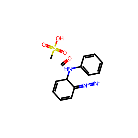 C=O.CS(=O)(=O)O.[N-]=[N+]=C1C=CC=CC1Nc1ccccc1